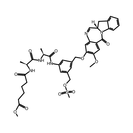 COC(=O)CCCCC(=O)N[C@@H](C)C(=O)N[C@@H](C)C(=O)Nc1cc(COc2cc3c(cc2OC)C(=O)N2c4ccccc4C[C@H]2C=N3)cc(COS(C)(=O)=O)c1